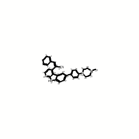 CC/C(=C/c1ccccc1)c1ccnc2[nH]c3ccc(-c4ccc(N5CCN(C)CC5)cc4)cc3c12